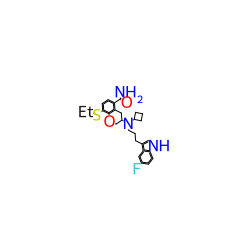 CCSc1ccc(C(N)=O)c2c1OCC(N(CCCc1c[nH]c3ccc(F)cc13)C1CCC1)C2